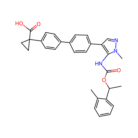 Cc1ccccc1C(C)OC(=O)Nc1c(-c2ccc(-c3ccc(C4(C(=O)O)CC4)cc3)cc2)cnn1C